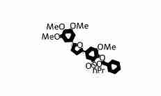 CCCS(=O)(=O)c1cc([C@H]2CC[C@H](c3cc(OC)c(OC)c(OC)c3)O2)cc(OC)c1OCc1ccccc1